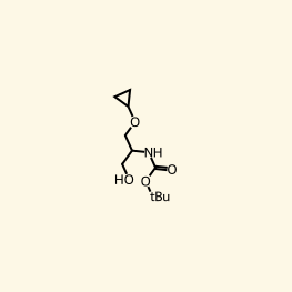 CC(C)(C)OC(=O)NC(CO)COC1CC1